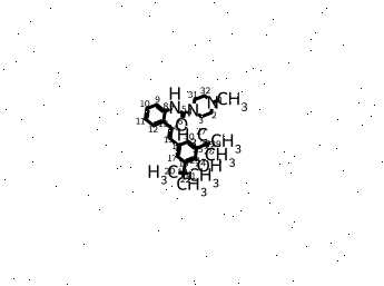 CN1CCN(C(=O)Nc2ccccc2/C=C/c2cc(C(C)(C)C)c(O)c(C(C)(C)C)c2)CC1